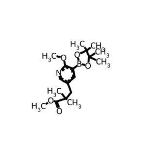 COC(=O)C(C)(C)Cc1cnc(OC)c(B2OC(C)(C)C(C)(C)O2)c1